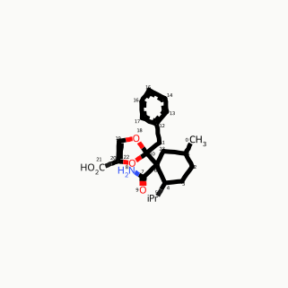 CC1CCC(C(C)C)C(C(N)=O)(C2(Cc3ccccc3)OC=C(C(=O)O)O2)C1